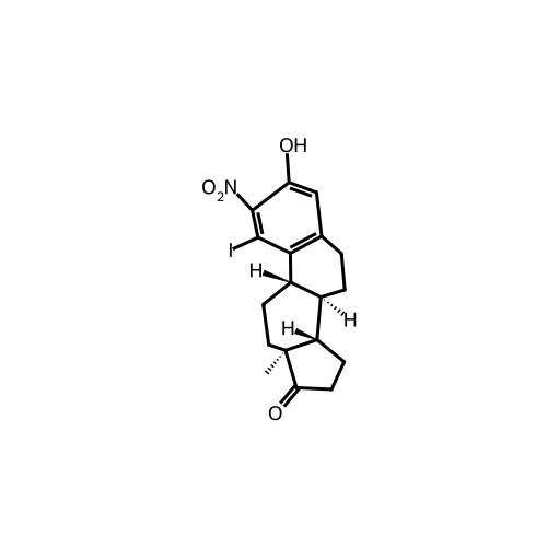 C[C@]12CC[C@@H]3c4c(cc(O)c([N+](=O)[O-])c4I)CC[C@H]3[C@@H]1CCC2=O